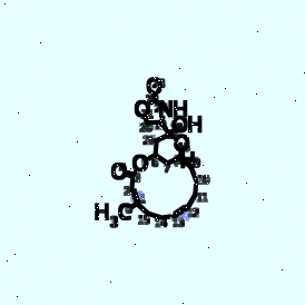 C/C1=C/C(=O)OC2C[C@@H](CCC/C=C\CC1)OC(O)(C1COC(=O)N1)C2